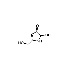 O=C1C=C(CO)NC1O